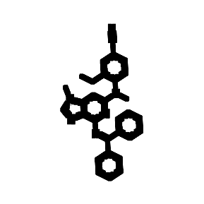 CCc1cc(C#N)ccc1N(C)c1cc2c(ncn2C)c(N=C(c2ccccc2)c2ccccc2)n1